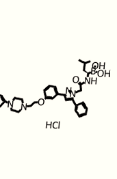 CC(C)C[C@H](NC(=O)Cn1nc(-c2cccc(OCCN3CCN(c4ccccc4)CC3)c2)cc1-c1ccccc1)B(O)O.Cl